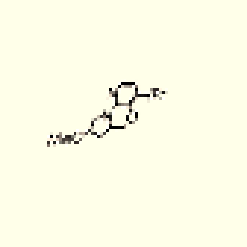 COC1CC2COc3c(C(C)C)ccnc3N2C1